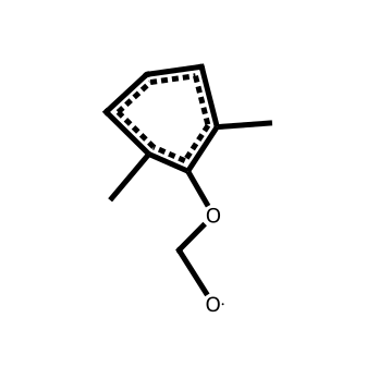 Cc1cccc(C)c1OC[O]